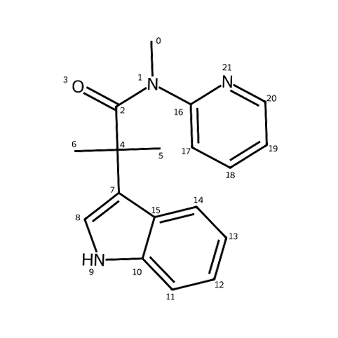 CN(C(=O)C(C)(C)c1c[nH]c2ccccc12)c1ccccn1